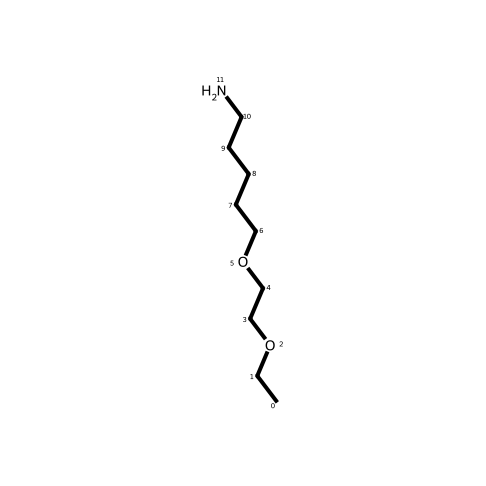 CCOCCOCCCCCN